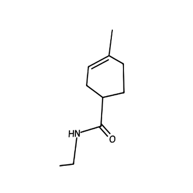 CCNC(=O)C1CC=C(C)CC1